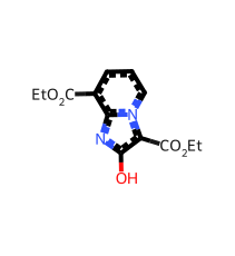 CCOC(=O)c1cccn2c(C(=O)OCC)c(O)nc12